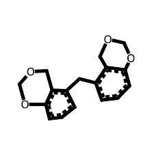 c1cc(Cc2cccc3c2COCO3)c2c(c1)OCOC2